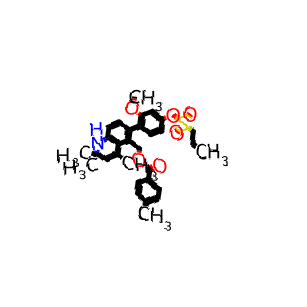 CCCS(=O)(=O)Oc1ccc(-c2ccc3c(c2COC(=O)c2ccc(C)cc2)C(C)=CC(C)(C)N3)c(OC)c1